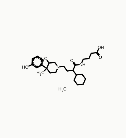 CC1CN(CCC(C(=O)NCCCC(=O)O)C2CCCCC2)CCC1(C)c1cccc(O)c1.O